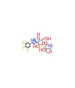 C[C@@H]1CCN1C(=O)[C@@H](S[C@@H]1O[C@H](CO)[C@H](O)[C@H](n2cc(-c3cc(F)c(F)c(F)c3)nn2)[C@H]1O)C1(O)CCOCC1